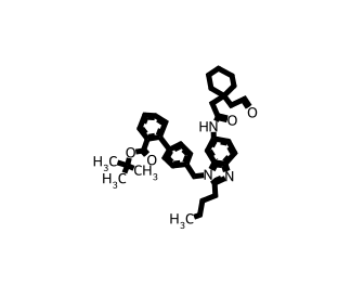 CCCCc1nc2ccc(NC(=O)CC3(CC=O)CCCCC3)cc2n1Cc1ccc(-c2ccccc2C(=O)OC(C)(C)C)cc1